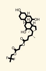 C[C@H](CCC(=O)OCCC(=O)OCC(C)(F)F)[C@H]1CC[C@H]2[C@@H]3C(O)C[C@@H]4CC(O)CC[C@]4(C)[C@H]3CC(O)[C@]12C